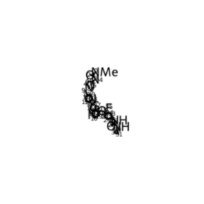 CNC(=O)N(C)C1CCN(Cc2ccc(-c3cc4nccc(Oc5ccc(NC(=O)NC6CC6)cc5F)c4s3)nc2)CC1